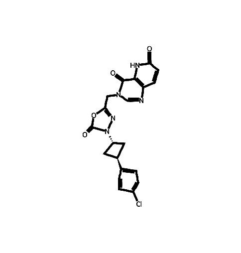 O=c1ccc2ncn(Cc3nn([C@H]4C[C@H](c5ccc(Cl)cc5)C4)c(=O)o3)c(=O)c2[nH]1